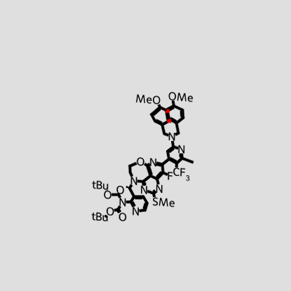 COc1ccc(CN(Cc2ccc(OC)cc2)c2cc(-c3nc4c5c(nc(SC)nc5c3F)N([C@H](C)c3cccnc3N(C(=O)OC(C)(C)C)C(=O)OC(C)(C)C)CCO4)c(C(F)(F)F)c(C)n2)cc1